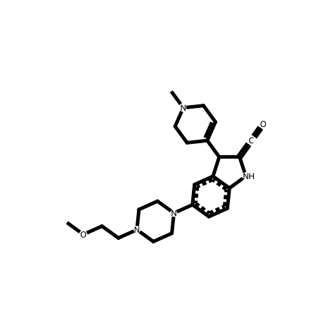 COCCN1CCN(c2ccc3c(c2)C(C2=CCN(C)CC2)C(=C=O)N3)CC1